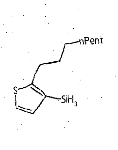 CCCCCCCCc1sccc1[SiH3]